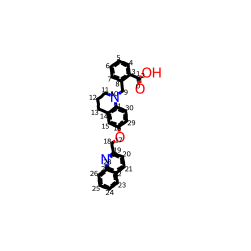 O=C(O)c1ccccc1CN1CCCc2cc(OCc3ccc4ccccc4n3)ccc21